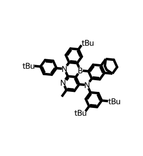 Cc1cc2c3c(n1)N(c1ccc(C(C)(C)C)cc1)c1ccc(C(C)(C)C)cc1B3c1cc3c(cc1N2c1cc(C(C)(C)C)cc(C(C)(C)C)c1)C1CCC3CC1